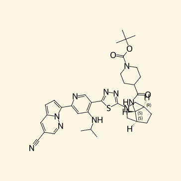 CC(C)Nc1cc(-c2ccc3cc(C#N)cnn23)ncc1-c1nnc(N2C[C@H]3CC[C@@H](C2)[C@@H]3NC(=O)C2CCN(C(=O)OC(C)(C)C)CC2)s1